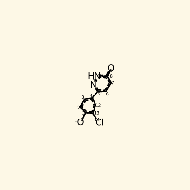 [O]c1ccc(-c2ccc(=O)[nH]n2)cc1Cl